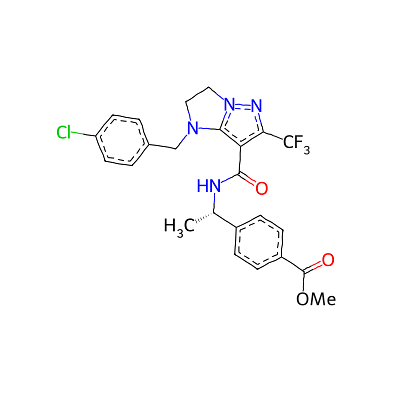 COC(=O)c1ccc([C@H](C)NC(=O)c2c(C(F)(F)F)nn3c2N(Cc2ccc(Cl)cc2)CC3)cc1